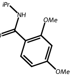 COc1ccc(C(=O)NC(C)C)c(OC)c1